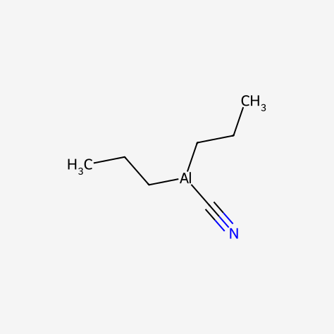 CC[CH2][Al]([C]#N)[CH2]CC